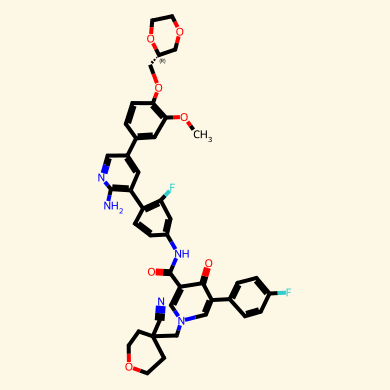 COc1cc(-c2cnc(N)c(-c3ccc(NC(=O)c4cn(CC5(C#N)CCOCC5)cc(-c5ccc(F)cc5)c4=O)cc3F)c2)ccc1OC[C@H]1COCCO1